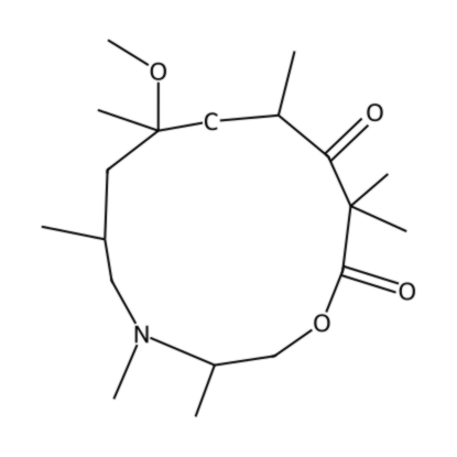 COC1(C)CC(C)CN(C)C(C)COC(=O)C(C)(C)C(=O)C(C)C1